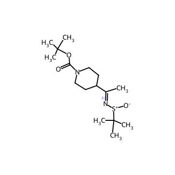 C/C(=N\[S+]([O-])C(C)(C)C)C1CCN(C(=O)OC(C)(C)C)CC1